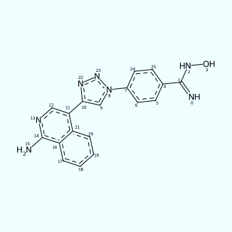 N=C(NO)c1ccc(-n2cc(-c3cnc(N)c4ccccc34)nn2)cc1